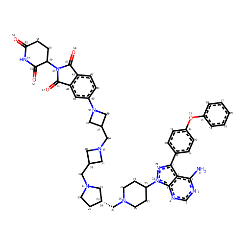 Nc1ncnc2c1c(-c1ccc(Oc3ccccc3)cc1)nn2C1CCN(C[C@@H]2CCN(CC3CN(CC4CN(c5ccc6c(c5)C(=O)N(C5CCC(=O)NC5=O)C6=O)C4)C3)C2)CC1